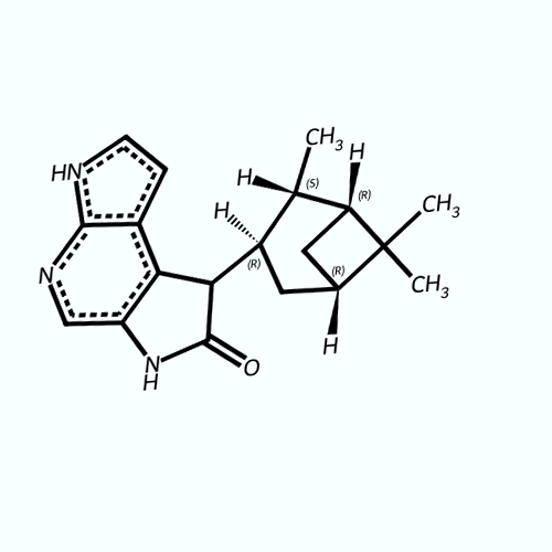 C[C@@H]1[C@H]2C[C@@H](C[C@H]1C1C(=O)Nc3cnc4[nH]ccc4c31)C2(C)C